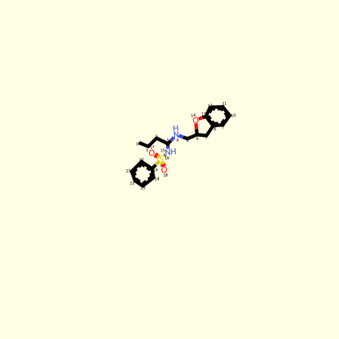 CCCC(NCC1Cc2ccccc2O1)NS(=O)(=O)c1ccccc1